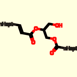 CCCCCCCC=CC(=O)OC(CO)COC(=O)CCCCCCC